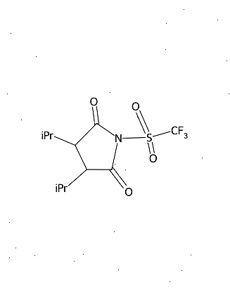 CC(C)C1C(=O)N(S(=O)(=O)C(F)(F)F)C(=O)C1C(C)C